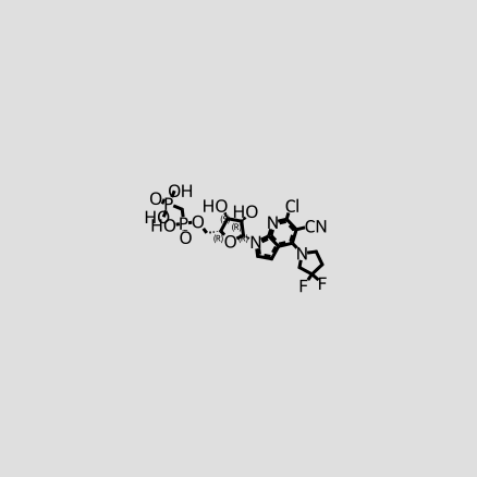 N#Cc1c(Cl)nc2c(ccn2[C@@H]2O[C@H](COP(=O)(O)CP(=O)(O)O)[C@@H](O)[C@H]2O)c1N1CCC(F)(F)C1